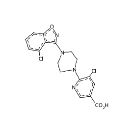 O=C(O)c1cnc(N2CCN(c3noc4cccc(Cl)c34)CC2)c(Cl)c1